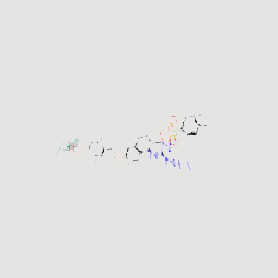 Cc1ccc(S(=O)(=O)Oc2nc(N)nc3c2CCc2cc(OCc4ccc(OC(F)(F)F)cc4)ccc2-3)cc1